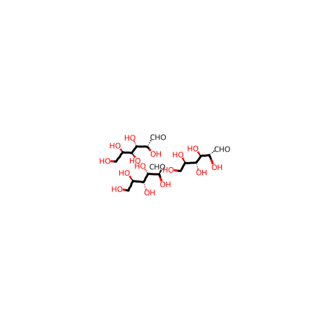 O=C[C@@H](O)[C@@H](O)[C@H](O)[C@H](O)CO.O=C[C@H](O)[C@@H](O)[C@@H](O)[C@H](O)CO.O=C[C@H](O)[C@H](O)[C@H](O)[C@H](O)CO